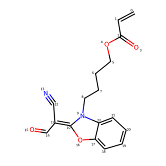 C=CC(=O)OCCCCN1/C(=C(\C#N)C=O)Oc2ccccc21